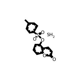 Cc1ccc(S(=O)(=O)Oc2cccc3oc(=O)ccc23)cc1.S